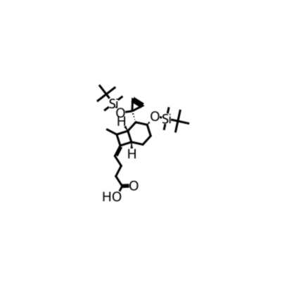 CC1/C(=C/CCC(=O)O)[C@H]2CC[C@@H](O[Si](C)(C)C(C)(C)C)[C@@H](C3(O[Si](C)(C)C(C)(C)C)C#C3)[C@@H]12